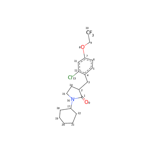 O=C1C(Cc2ccc(OCC(F)(F)F)cc2Cl)CCN1C1CCCCC1